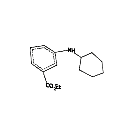 CCOC(=O)c1cccc(NC2CCCCC2)c1